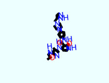 Cc1c(Nc2cc[nH]c(=O)c2C(=O)Nc2ccc(N3CCN(Cc4ccn[nH]4)CC3)cc2)cnc2c1NCC(C)O2